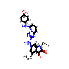 Cc1cc(Nc2nc3cccc(NC4CCC(O)CC4)n3n2)cc2c1C(=O)C(=O)N2C